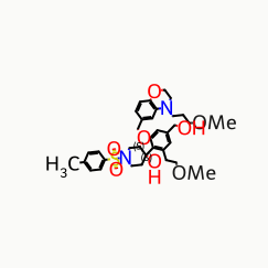 COCCCN1CCOc2ccc(CO[C@H]3CN(S(=O)(=O)c4ccc(C)cc4)CC[C@]3(O)c3ccc(CO)cc3CCOC)cc21